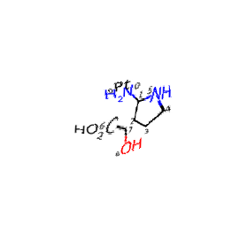 NC1CCCN1.O=C(O)CO.[Pt]